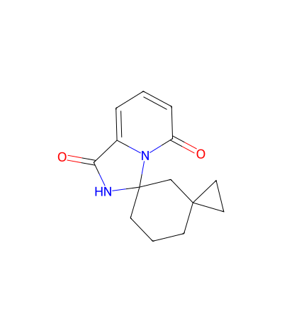 O=C1NC2(CCCC3(CC3)C2)n2c1cccc2=O